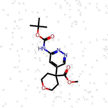 COC(=O)C1(c2cnnc(NC(=O)OC(C)(C)C)c2)CCOCC1